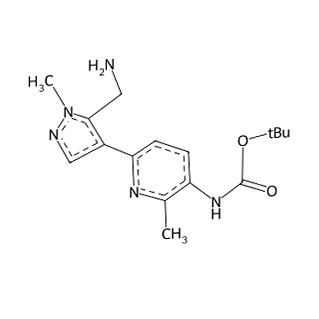 Cc1nc(-c2cnn(C)c2CN)ccc1NC(=O)OC(C)(C)C